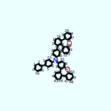 c1ccc(-c2ccc(N(c3ccc(-c4cccc5c4-c4ccccc4Oc4ccccc4-5)cc3)c3ccc4c(c3)-c3ccccc3-c3ccccc3O4)cc2)cc1